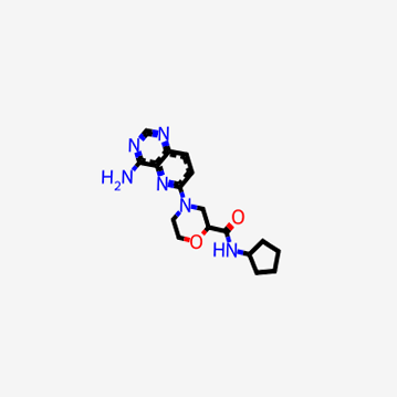 Nc1ncnc2ccc(N3CCOC(C(=O)NC4CCCC4)C3)nc12